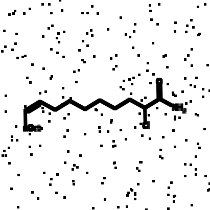 CCCCCCCC/C=C\CCCCCCC(Cl)C(N)=O